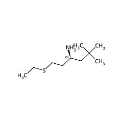 CCSCC[C@@H](N)CC(C)(C)C